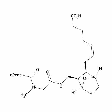 CCCCCC(=O)N(C)CC(=O)NC[C@H]1[C@@H](C/C=C\CCCC(=O)O)[C@H]2CC[C@@H]1O2